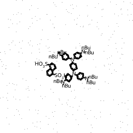 CCCCN(CCCC)c1ccc(N(c2ccc(N(CCCC)CCCC)cc2)c2ccc(N(c3ccc(N(CCCC)CCCC)cc3)c3ccc(N(CCCC)CCCC)cc3)cc2)cc1.O=S(=O)(O)c1cccc2c(S(=O)(=O)O)cccc12